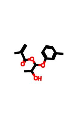 C=C(C)C(=O)OC(Oc1cccc(C)c1)C(C)O